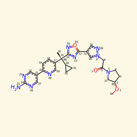 CO[C@@H]1CCN(C(=O)Cn2cc(-c3nc([C@@](C)(c4ccc(-c5cnc(N)nc5)nc4)C4CC4)no3)cn2)C1